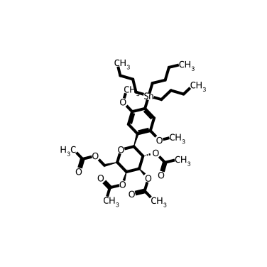 CCC[CH2][Sn]([CH2]CCC)([CH2]CCC)[c]1cc(OC)c([C@@H]2O[C@H](COC(C)=O)[C@H](OC(C)=O)[C@H](OC(C)=O)[C@H]2OC(C)=O)cc1OC